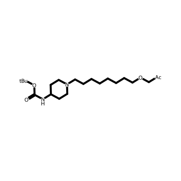 CC(=O)COCCCCCCCCN1CCC(NC(=O)OC(C)(C)C)CC1